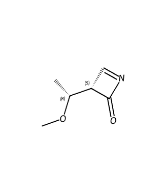 CO[C@H](C)[C@@H]1C=NC1=O